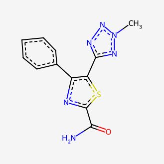 Cn1nnc(-c2sc(C(N)=O)nc2-c2ccccc2)n1